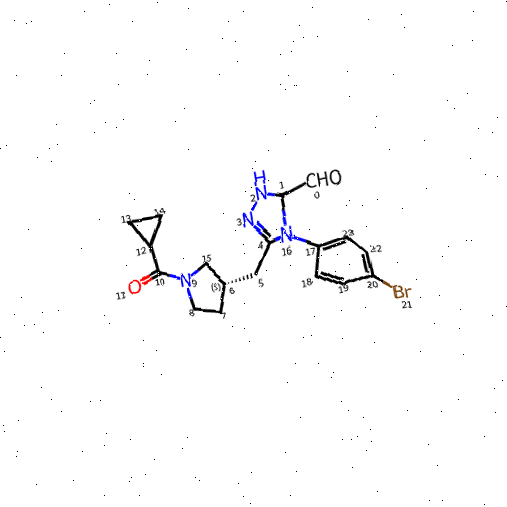 O=CC1NN=C(C[C@@H]2CCN(C(=O)C3CC3)C2)N1c1ccc(Br)cc1